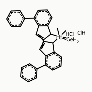 CC1=Cc2c(-c3ccccc3)cccc2[CH]1[Hf]([CH3])([CH3])(=[GeH2])[CH]1C(C)=Cc2c(-c3ccccc3)cccc21.Cl.Cl